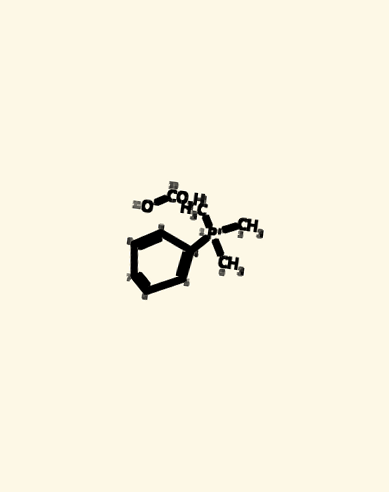 C[P+](C)(C)c1ccccc1.O=C([O-])O